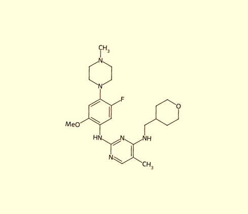 COc1cc(N2CCN(C)CC2)c(F)cc1Nc1ncc(C)c(NCC2CCOCC2)n1